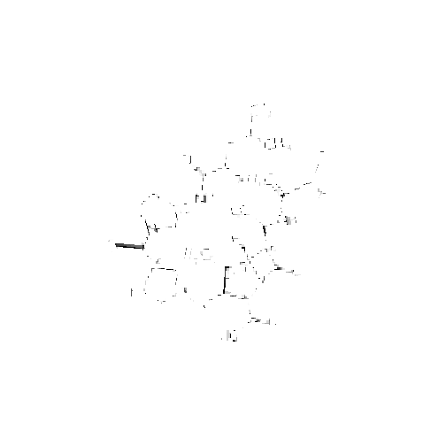 CC(C)CC(N)C(=O)N[C@H]1CCN(C(=O)[C@@H]2C[C@H](SC3=C(C(=O)O)N4C(=O)[C@H](C(C)NC(=O)C(F)F)[C@H]4[C@H]3C)CN2)C1